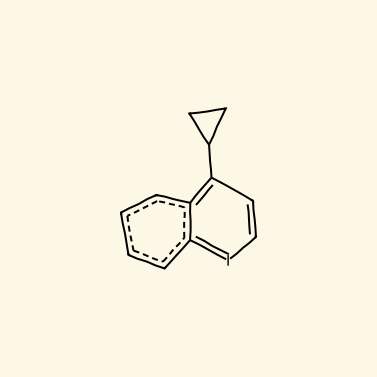 C1=CC(C2CC2)=c2ccccc2=I1